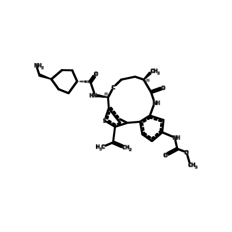 C=C(C)c1sc2cc1-c1ccc(NC(=O)OC)cc1NC(=O)[C@H](C)CCC[C@@H]2NC(=O)[C@H]1CC[C@H](CN)CC1